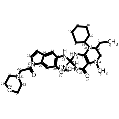 CCC1CN(C)C2=C(N[C@@](N)(Nc3cc4ccn(C(=O)CN5CCOCC5)c4cc3OC)NC2=O)N1C1CCCCC1